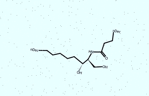 CCCCCCCCCCCCCCC[C@@H](O)[C@H](CO)NC(=O)CCCCCCCCCCCC